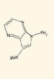 CNc1cn(P)c2nccnc12